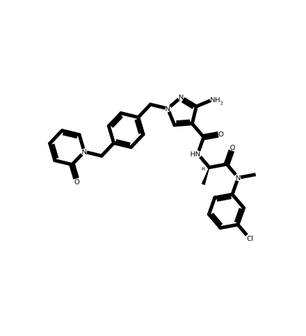 C[C@@H](NC(=O)c1cn(Cc2ccc(Cn3ccccc3=O)cc2)nc1N)C(=O)N(C)c1cccc(Cl)c1